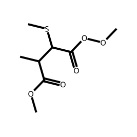 COOC(=O)C(SC)C(C)C(=O)OC